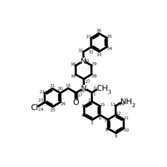 CC(c1cccc(-c2ccccc2CN)c1)N(C(=O)Cc1ccc(Cl)cc1)C1CCN(Cc2ccccc2)CC1